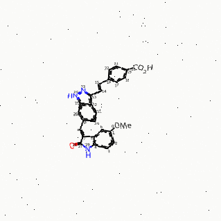 COc1ccc2c(c1)/C(=C\c1ccc3c(/C=C/c4ccc(C(=O)O)cc4)n[nH]c3c1)C(=O)N2